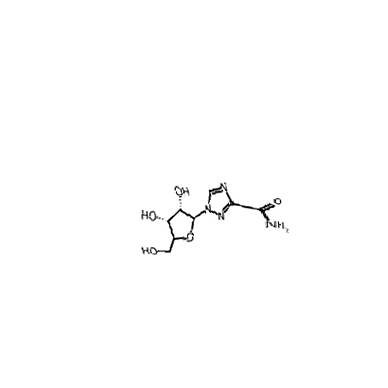 NC(=O)c1ncn(C2OC(CO)[C@H](O)[C@@H]2O)n1